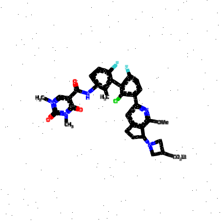 CCOC(=O)C1CN(C2CCc3cc(-c4ccc(F)c(-c5c(F)ccc(NC(=O)c6cn(C)c(=O)n(C)c6=O)c5C)c4Cl)nc(OC)c32)C1